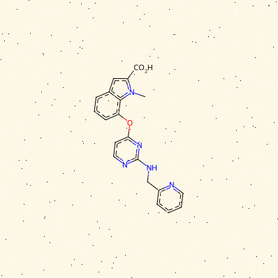 Cn1c(C(=O)O)cc2cccc(Oc3ccnc(NCc4ccccn4)n3)c21